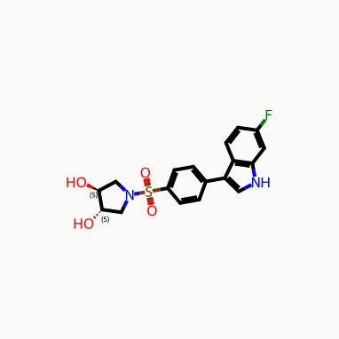 O=S(=O)(c1ccc(-c2c[nH]c3cc(F)ccc23)cc1)N1C[C@H](O)[C@@H](O)C1